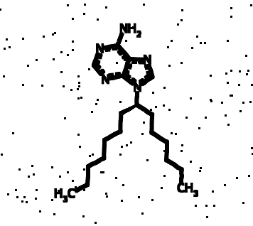 CCCCCCC[C@H](CCCCCC)n1cnc2c(N)ncnc21